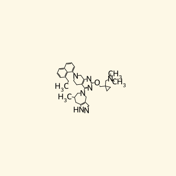 CCc1cccc2cccc(N3CCc4c(nc(OCC5(CN(C)C)CC5)nc4N4Cc5cn[nH]c5CC(C)C4)C3)c12